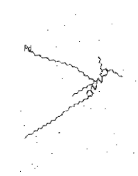 CCCCCCCCCCCCCCCCCCCCC/C=C/C(=N\c1cc(CCCCC)cc(CCCCC)c1)C(/CCCCCCCC)=N/c1ccc(CCCCCCCCCCCCCCCCCCCCCCCCC)cc1.[Pd]